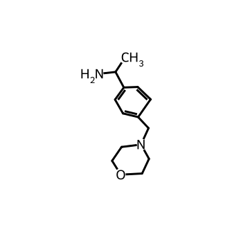 CC(N)c1ccc(CN2CCOCC2)cc1